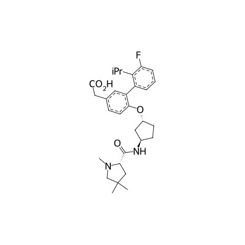 CC(C)c1c(F)cccc1-c1cc(CC(=O)O)ccc1O[C@@H]1CC[C@@H](NC(=O)[C@@H]2CC(C)(C)CN2C)C1